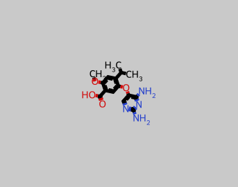 COc1cc(C(C)C)c(Oc2cnc(N)nc2N)cc1C(=O)O